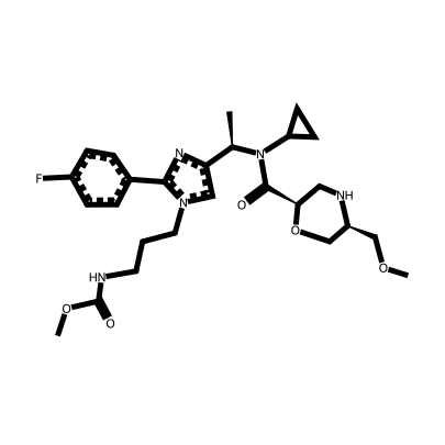 COC[C@H]1CO[C@@H](C(=O)N(C2CC2)[C@H](C)c2cn(CCCNC(=O)OC)c(-c3ccc(F)cc3)n2)CN1